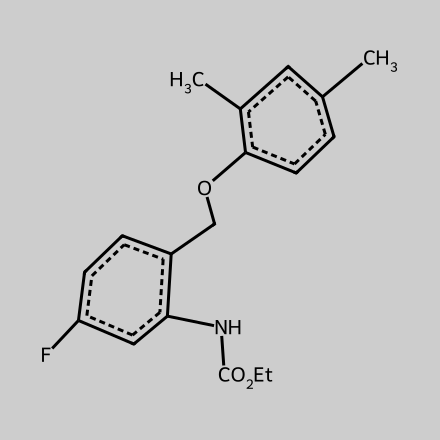 CCOC(=O)Nc1cc(F)ccc1COc1ccc(C)cc1C